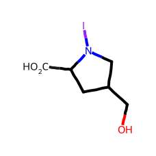 O=C(O)C1CC(CO)CN1I